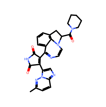 Cc1ccc2ncc(C3=C(C4=NC=CN5c6c(cccc64)CC5C(=O)N4CCCCC4)C(=O)NC3=O)n2n1